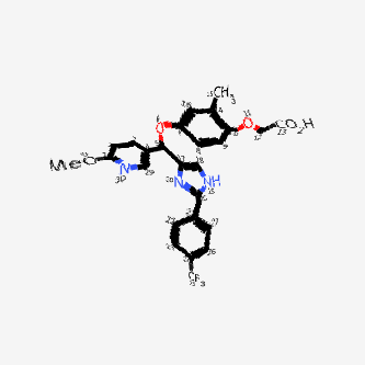 COc1ccc(C(Oc2ccc(OCC(=O)O)c(C)c2)c2c[nH]c(-c3ccc(C(F)(F)F)cc3)n2)cn1